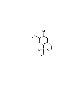 [CH2]CS(=O)(=O)c1cc(OC)c(N)cc1OC